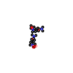 c1ccc(N(c2ccccc2)c2ccc3c4c(ccc3c2)-c2c(cc(N(c3ccccc3)c3ccc(-c5cccc(N(c6ccccc6)c6ccc7c8c(ccc7c6)-c6c(cc(N(c7ccccc7)c7ccccc7)c7c6ccc6oc9ccccc9c67)C86c7ccccc7-c7ccccc76)c5)cc3)c3c2ccc2c5ccccc5oc23)C42c3ccccc3-c3ccccc32)cc1